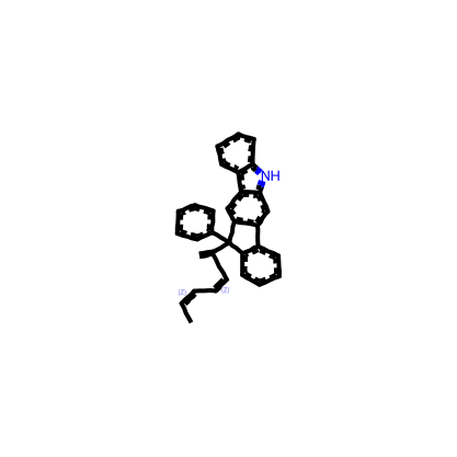 C=C(/C=C\C=C/C)C1(c2ccccc2)c2ccccc2-c2cc3[nH]c4ccccc4c3cc21